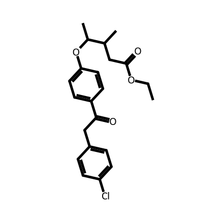 CCOC(=O)CC(C)C(C)Oc1ccc(C(=O)Cc2ccc(Cl)cc2)cc1